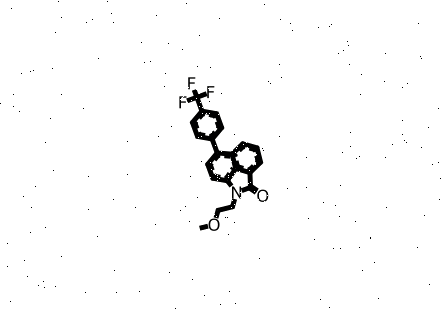 COCCN1C(=O)c2cccc3c(-c4ccc(C(F)(F)F)cc4)ccc1c23